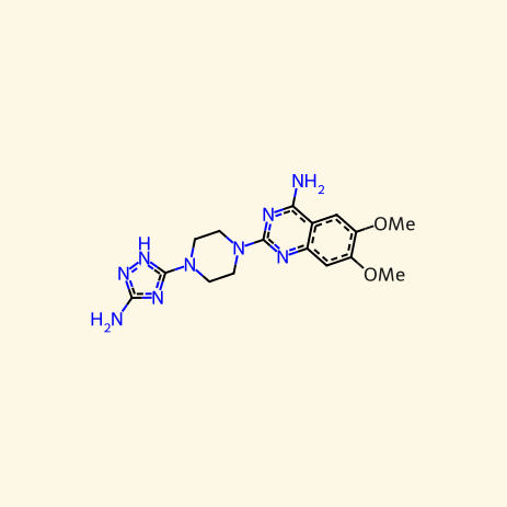 COc1cc2nc(N3CCN(c4nc(N)n[nH]4)CC3)nc(N)c2cc1OC